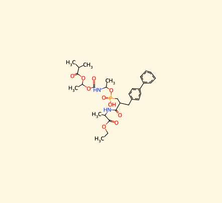 CCOC(=O)C(C)NC(=O)C(Cc1ccc(-c2ccccc2)cc1)CP(=O)(O)OC(C)NC(=O)OC(C)OC(=O)C(C)C